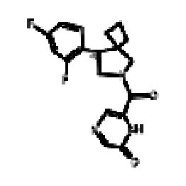 O=C(c1cncc(=O)[nH]1)N1C[C@@H](c2ccc(F)cc2F)C2(CCC2)C1